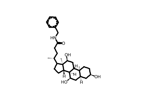 C[C@H](CCC(=O)NCc1ccccc1)C1CC[C@H]2[C@@H]3[C@H](O)C[C@@H]4C[C@H](O)CC[C@]4(C)[C@H]3C[C@H](O)[C@]12C